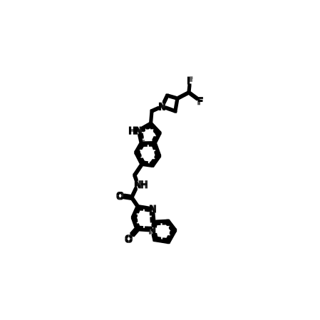 O=C(NCc1ccc2cc(CN3CC(C(F)F)C3)[nH]c2c1)c1cc(=O)n2ccccc2n1